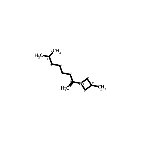 C=C(CCCCC(C)C)N1CC(C)C1